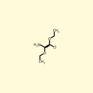 CCOC([SiH3])=C(Cl)OCC